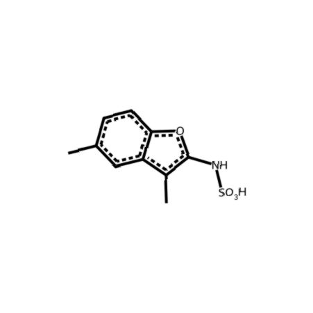 Cc1ccc2oc(NS(=O)(=O)O)c(C)c2c1